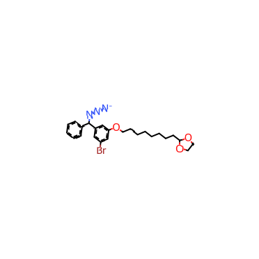 [N-]=[N+]=NC(c1ccccc1)c1cc(Br)cc(OCCCCCCCCC2OCCO2)c1